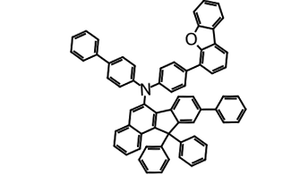 c1ccc(-c2ccc(N(c3ccc(-c4cccc5c4oc4ccccc45)cc3)c3cc4ccccc4c4c3-c3ccc(-c5ccccc5)cc3C4(c3ccccc3)c3ccccc3)cc2)cc1